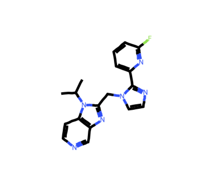 CC(C)n1c(Cn2ccnc2-c2cccc(F)n2)nc2cnccc21